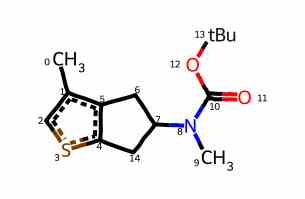 Cc1csc2c1CC(N(C)C(=O)OC(C)(C)C)C2